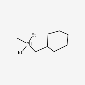 CC[PH](C)(CC)CC1CCCCC1